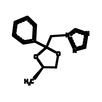 C[C@@H]1COC(Cn2cncn2)(c2ccccc2)O1